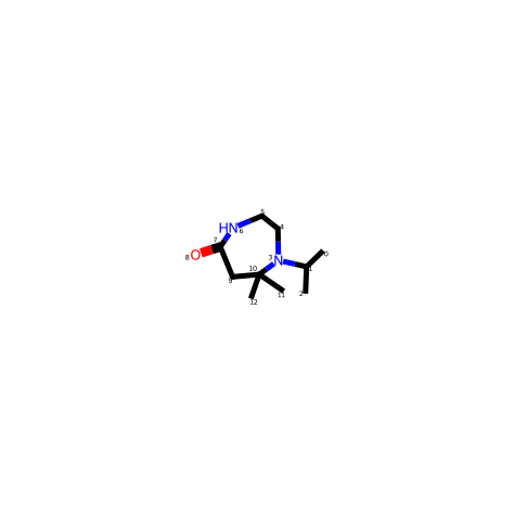 CC(C)N1CCNC(=O)CC1(C)C